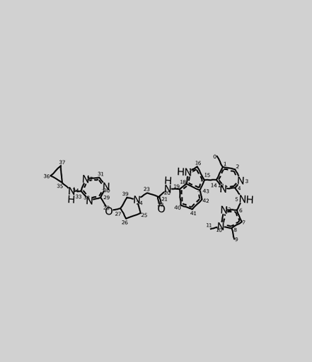 Cc1cnc(Nc2cc(C)n(C)n2)nc1-c1c[nH]c2c(NC(=O)CN3CCC(Oc4ncnc(NC5CC5)n4)C3)cccc12